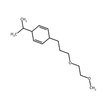 COCCOCCCC1C=CC(C(C)C)C=C1